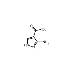 CC(C)(C)C(=O)c1c[nH]nc1N